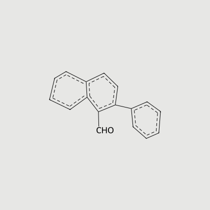 O=Cc1c(-c2ccccc2)ccc2ccccc12